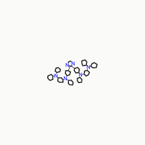 c1ccc(N(c2ccccc2)c2cccc(N(c3ccccc3)c3ccc(-c4nccnc4-c4ccc(N(c5ccccc5)c5cccc(N(c6ccccc6)c6ccccc6)c5)cc4)cc3)c2)cc1